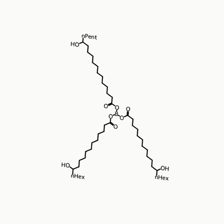 CCCCCCC(O)CCCCCCCCCCC(=O)OB(OC(=O)CCCCCCCCCCCC(O)CCCCC)OC(=O)CCCCCCCCCCC(O)CCCCCC